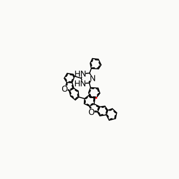 c1ccc(C2=NC(c3ccccc3)NC(c3cccc4oc5ccc(-c6ccc7c(c6)oc6cc8ccccc8cc67)cc5c34)N2)cc1